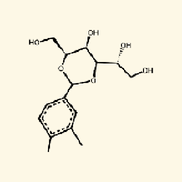 Cc1ccc(C2O[C@H]([C@H](O)CO)[C@H](O)[C@H](CO)O2)cc1C